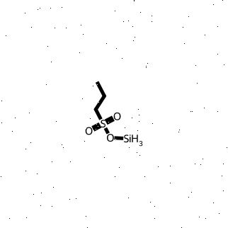 CCCS(=O)(=O)O[SiH3]